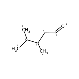 C[C](C)C(C)CC=O